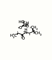 C=CC(=O)NCC(=C)C.O=[PH](O)O